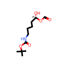 CC(C)(C)OC(=O)NCCCC[C@H](O)OC=O